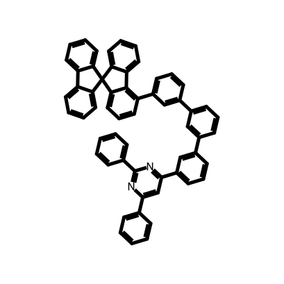 c1ccc(-c2cc(-c3cccc(-c4cccc(-c5cccc(-c6cccc7c6-c6ccccc6C76c7ccccc7-c7ccccc76)c5)c4)c3)nc(-c3ccccc3)n2)cc1